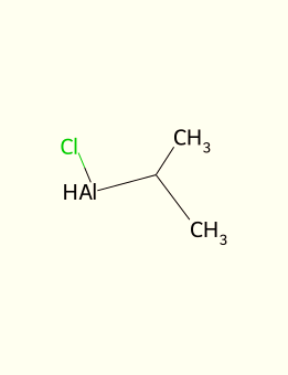 C[CH](C)[AlH][Cl]